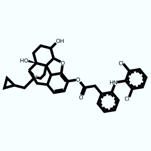 O=C(Cc1ccccc1Nc1c(Cl)cccc1Cl)OC1=C2OC3C(O)CC[C@@]4(O)C5CC(C=C1)C2C34CCN5CC1CC1